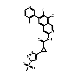 Cc1ccncc1-c1cc2cc(NC(=O)C3CC3c3cn(S(C)(=O)=O)nn3)ncc2c(Cl)c1F